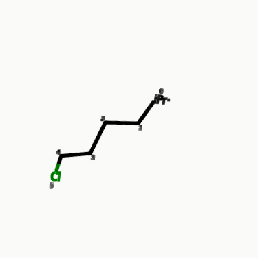 C[C](C)CCCCCl